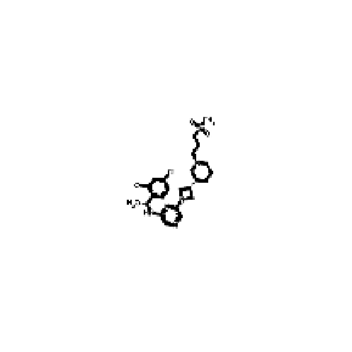 C[C@@H](Nc1cncc(N2CC([C@H]3CCCN(CCCS(C)(=O)=O)C3)C2)n1)c1ccc(Cl)cc1Cl